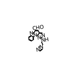 O=Cc1cc2cnc(NCCn3ccnc3)nc2n2c1nc1ccccc12